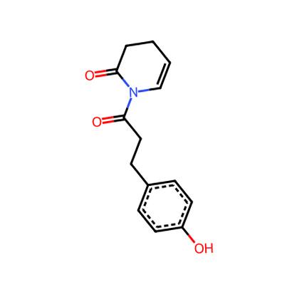 O=C1CCC=CN1C(=O)CCc1ccc(O)cc1